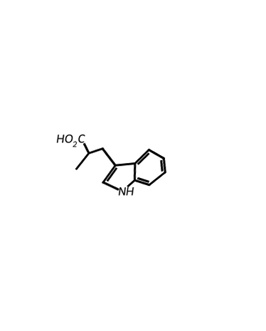 CC(Cc1c[nH]c2ccccc12)C(=O)O